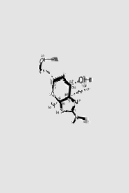 CN(C)C1=N[C@H]2[C@H](O[C@H](CO)C[C@@H]2O)S1